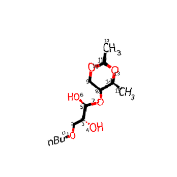 CCCCOC[C@@H](O)[C@@H](O)OC1COC(C)O[C@H]1C